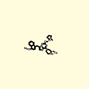 COc1ccc(Cc2cnc3c(N4CCN[C@@H](CC#N)C4)nc(OC[C@@H]4CCCN4C)nn23)c2ccccc12